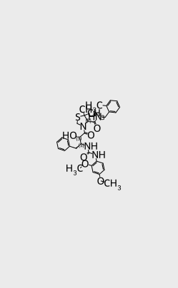 COc1ccc(NC(=O)N[C@@H](Cc2ccccc2)[C@H](O)C(=O)N2CSC(C)(C)[C@H]2C(=O)NCc2ccccc2C)c(OC)c1